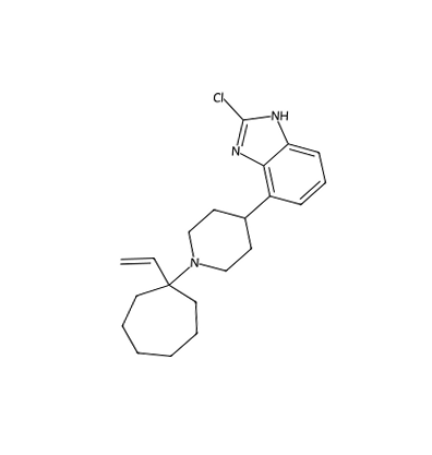 C=CC1(N2CCC(c3cccc4[nH]c(Cl)nc34)CC2)CCCCCC1